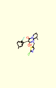 Cc1ccc(F)c(-c2c(O)[n+](Cc3cnc(Cl)s3)c3c(C)cccn3c2=O)c1